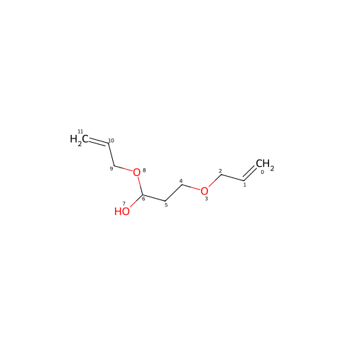 C=CCOCCC(O)OCC=C